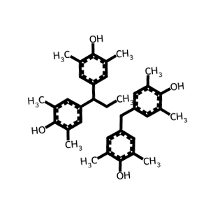 CCC(c1cc(C)c(O)c(C)c1)c1cc(C)c(O)c(C)c1.Cc1cc(Cc2cc(C)c(O)c(C)c2)cc(C)c1O